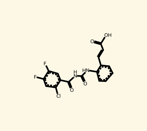 O=C(O)/C=C/c1ccccc1NC(=O)NC(=O)c1cc(F)c(F)cc1Cl